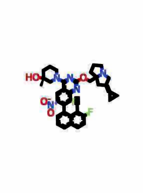 C#Cc1c(F)ccc2cccc(-c3c([N+](=O)[O-])cc4c(N5CCC[C@@](C)(O)C5)nc(OCC56CCCN5CC(=C5CC5)C6)nc4c3F)c12